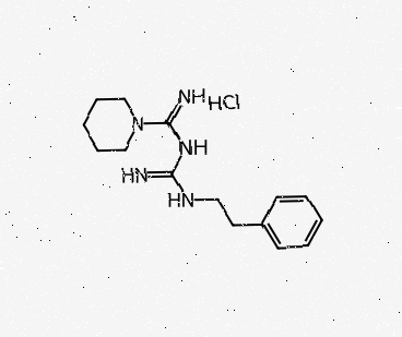 Cl.N=C(NCCc1ccccc1)NC(=N)N1CCCCC1